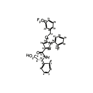 Cc1ccccc1[C@H](CC(=O)O)NC(=O)c1cc(OCc2cccc(C(F)(F)F)c2)n(-c2ccccc2F)n1